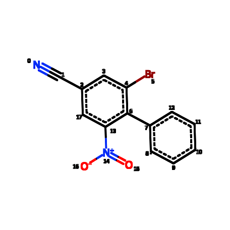 N#Cc1cc(Br)c(-c2[c]cccc2)c([N+](=O)[O-])c1